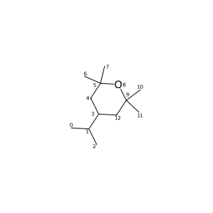 CC(C)C1CC(C)(C)OC(C)(C)C1